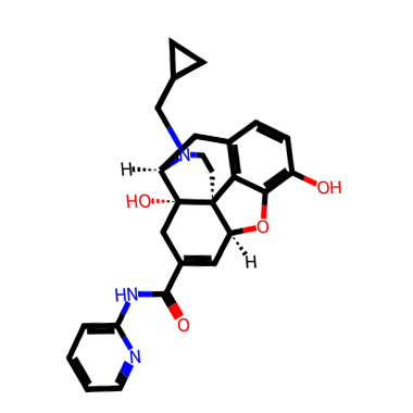 O=C(Nc1ccccn1)C1=C[C@@H]2Oc3c(O)ccc4c3[C@@]23CCN(CC2CC2)[C@H](C4)[C@]3(O)C1